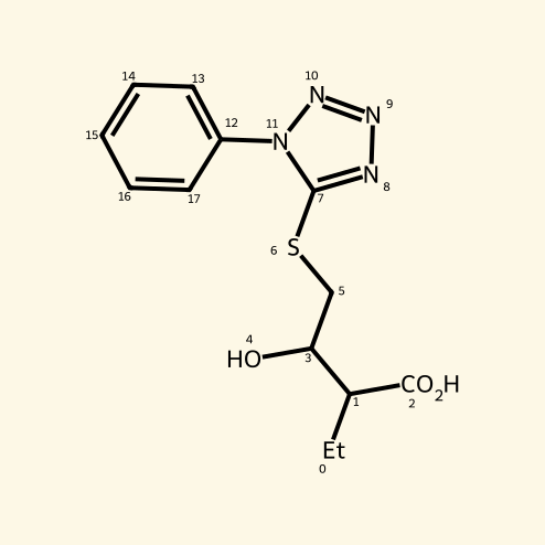 CCC(C(=O)O)C(O)CSc1nnnn1-c1ccccc1